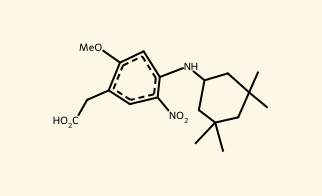 COc1cc(NC2CC(C)(C)CC(C)(C)C2)c([N+](=O)[O-])cc1CC(=O)O